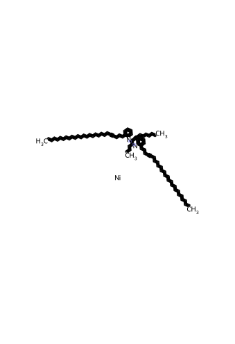 CCCCCCCC#CC(=N\c1ccccc1CCCC#CCCCCCCCCCCCCCCCCCCCCCC)/C(CCCC)=N\c1ccccc1CCCC#CCCCCCCCCCCCCCCCCCCCCCC.[Ni]